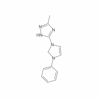 Cc1n[nH]c(N2C=CN(c3ccccc3)C2)n1